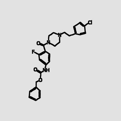 O=C(Nc1ccc(C(=O)N2CCN(CCc3ccc(Cl)cc3)CC2)c(F)c1)OCc1ccccc1